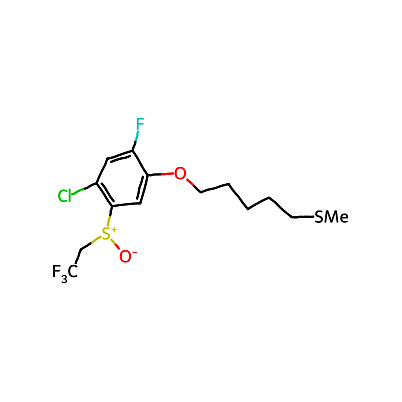 CSCCCCCOc1cc([S+]([O-])CC(F)(F)F)c(Cl)cc1F